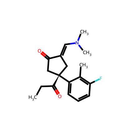 CCC(=O)[C@@]1(c2cccc(F)c2C)CC(=O)/C(=C/N(C)C)C1